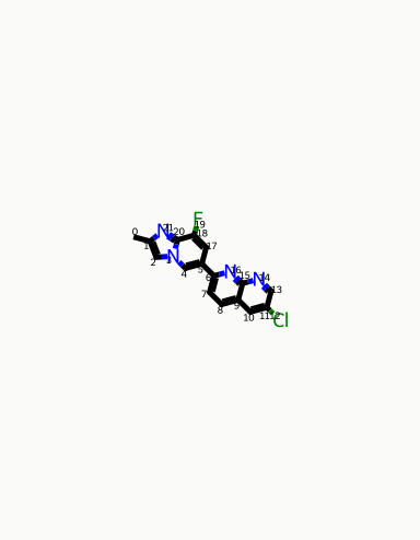 Cc1cn2cc(-c3ccc4cc(Cl)cnc4n3)cc(F)c2n1